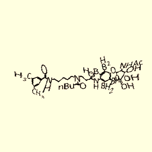 Bc1c(B)c(OC2OC(CO)C(O)C(O)C2NC(C)=O)c(B)c(B)c1NC(=O)CCN(CCCCCNC(=O)c1cc(C)cc(C)c1)C(=O)CCCC